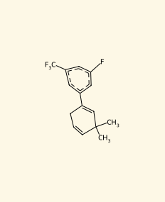 CC1(C)C=CCC(c2cc(F)cc(C(F)(F)F)c2)=C1